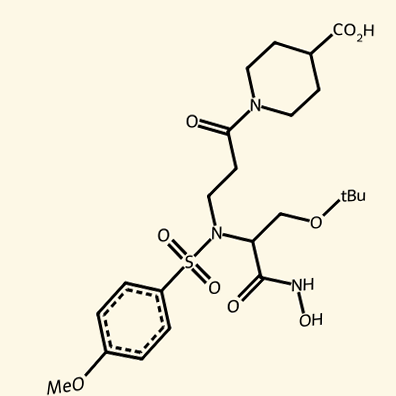 COc1ccc(S(=O)(=O)N(CCC(=O)N2CCC(C(=O)O)CC2)C(COC(C)(C)C)C(=O)NO)cc1